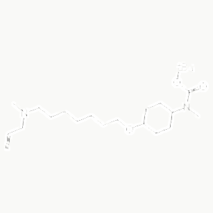 C=CCN(C)CCCCCCCOC1CCC(N(C)C(=O)OC(C)(C)C)CC1